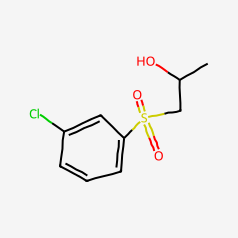 CC(O)CS(=O)(=O)c1cccc(Cl)c1